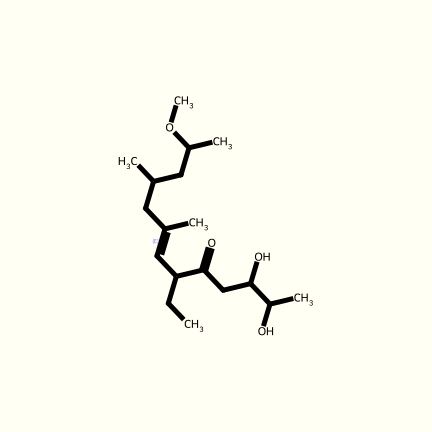 CCC(/C=C(\C)CC(C)CC(C)OC)C(=O)CC(O)C(C)O